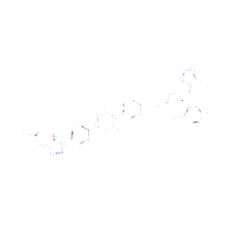 CC(C)(C)C(=O)Cn1ncn(-c2ccc(N3CCN(c4ccc(OCC5COC(Cn6cncn6)(c6ccc(F)cc6F)O5)cc4)CC3)cc2)c1=O